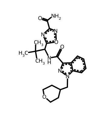 CC(C)(C)C(NC(=O)c1nn(CC2CCOCC2)c2ccccc12)c1nc(C(N)=O)no1